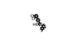 Cc1ccc2c(N3C[C@H](O)[C@@H](N4CCN(c5cccc(Cl)c5Cl)CC4)C3)ccnc2c1